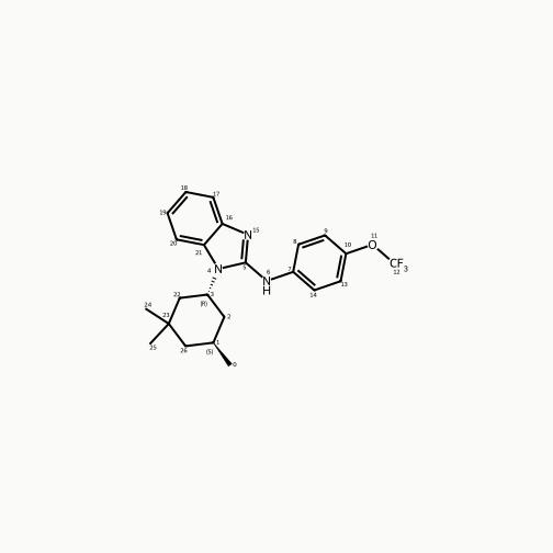 C[C@@H]1C[C@@H](n2c(Nc3ccc(OC(F)(F)F)cc3)nc3ccccc32)CC(C)(C)C1